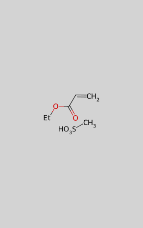 C=CC(=O)OCC.CS(=O)(=O)O